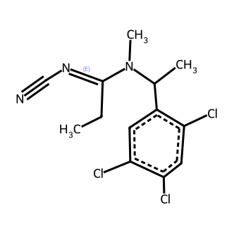 CC/C(=N\C#N)N(C)C(C)c1cc(Cl)c(Cl)cc1Cl